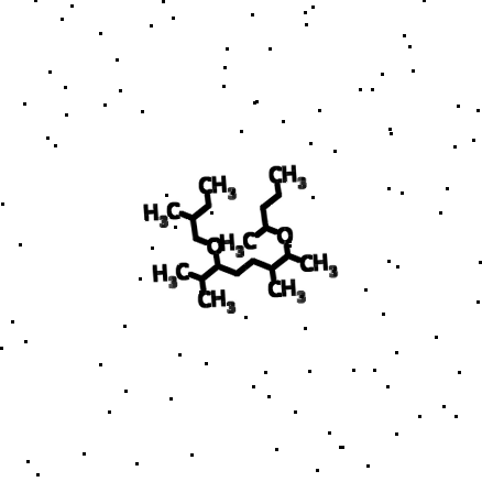 CCCC(C)OC(C)C(C)CCC(OCC(C)CC)C(C)C